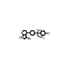 NCC(O)(c1ccc(Cl)cc1)c1ccc(-c2ccnc3[nH]cc(Br)c23)cc1